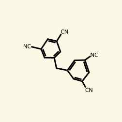 [C-]#[N+]c1cc(C#N)cc(Cc2cc(C#N)cc(C#N)c2)c1